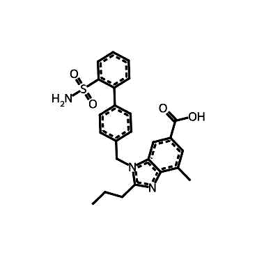 CCCc1nc2c(C)cc(C(=O)O)cc2n1Cc1ccc(-c2ccccc2S(N)(=O)=O)cc1